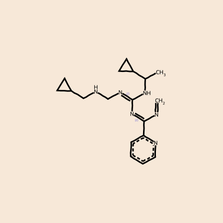 C=N/C(=N\C(=N/CNCC1CC1)NC(C)C1CC1)c1ccccn1